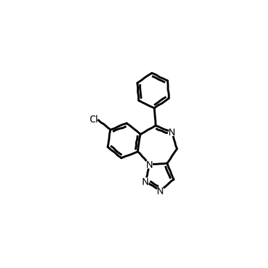 Clc1ccc2c(c1)C(c1ccccc1)=NCc1cnnn1-2